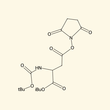 CC(C)COC(=O)C(CC(=O)ON1C(=O)CCC1=O)NC(=O)OC(C)(C)C